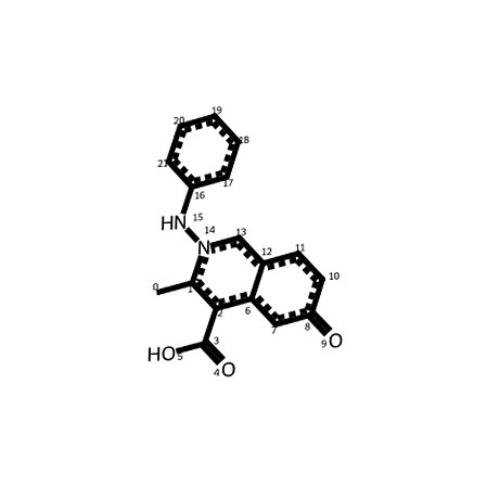 Cc1c(C(=O)O)c2cc(=O)ccc-2cn1Nc1ccccc1